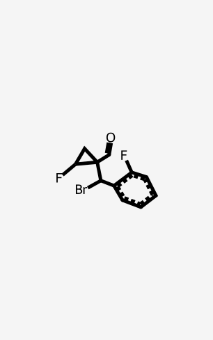 O=CC1(C(Br)c2ccccc2F)CC1F